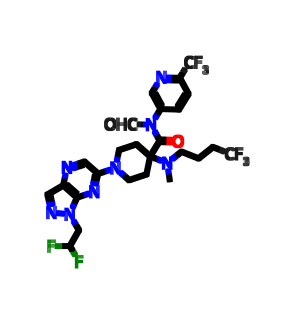 CN(CCCC(F)(F)F)C1(C(=O)N(C=O)c2ccc(C(F)(F)F)nc2)CCN(c2cnc3cnn(CC(F)F)c3n2)CC1